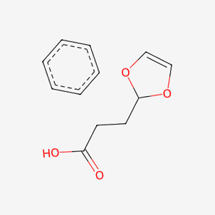 O=C(O)CCC1OC=CO1.c1ccccc1